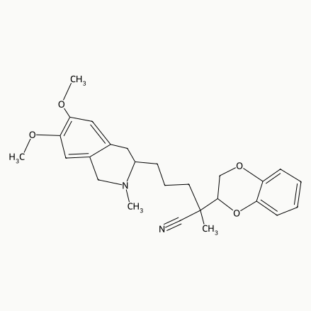 COc1cc2c(cc1OC)CN(C)C(CCCC(C)(C#N)C1COc3ccccc3O1)C2